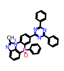 Cc1nc2cccc3c2n1-c1ccc(-c2nc(-c4ccccc4)nc(-c4ccccc4)n2)cc1P3(=O)c1ccccc1